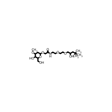 COC1CC(OCC(=O)NCCOCCOCC(O)CC(C)(C)C)OC(CO)C1O